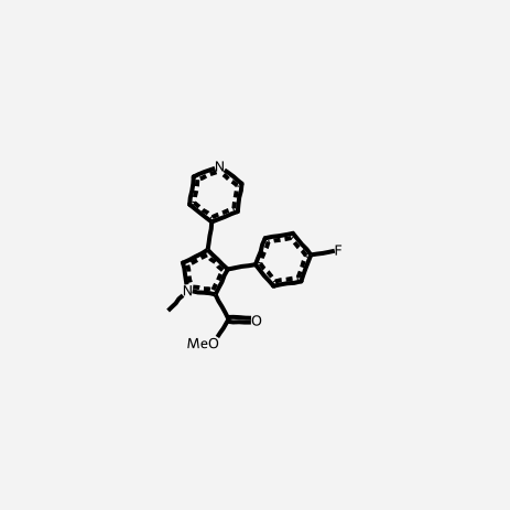 COC(=O)c1c(-c2ccc(F)cc2)c(-c2ccncc2)cn1C